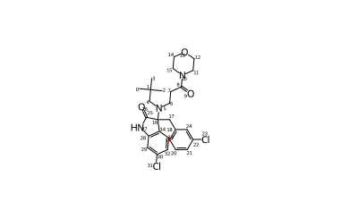 CC(C)(C)CN(CCC(=O)N1CCOCC1)C1(Cc2cccc(Cl)c2)C(=O)Nc2cc(Cl)ccc21